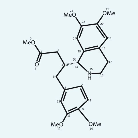 COC(=O)CC(Cc1ccc(OC)c(OC)c1)[C@H]1NCCc2cc(OC)c(OC)cc21